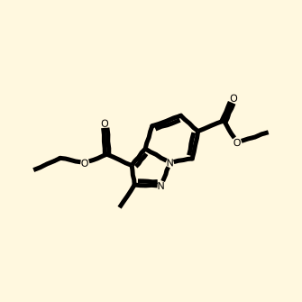 CCOC(=O)c1c(C)nn2cc(C(=O)OC)ccc12